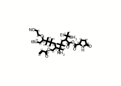 BC(C)(CC)C(CC(C)(C)C(C)(N)C(COC(=O)C=C)CC(C)(C)C(C)(C)C(CC(C)(C)C)OCCC#N)C(=O)OC(=O)C1CCC(=O)N1